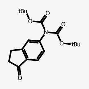 CC(C)(C)OC(=O)N(C(=O)OC(C)(C)C)c1ccc2c(c1)CCC2=O